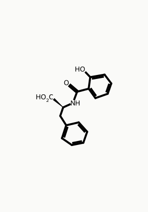 O=C(N[C@@H](Cc1ccccc1)C(=O)O)c1ccccc1O